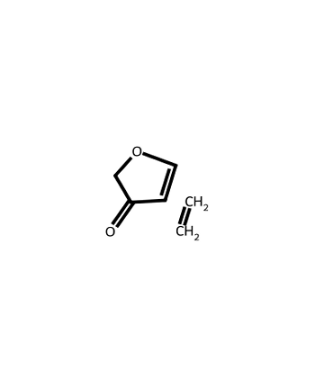 C=C.O=C1C=COC1